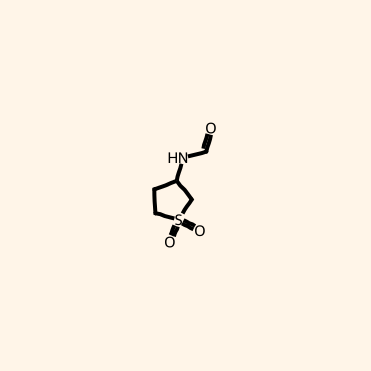 O=CNC1CCS(=O)(=O)C1